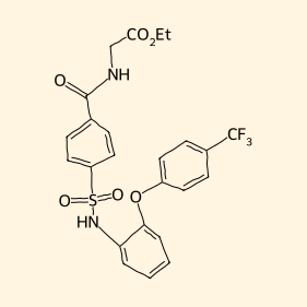 CCOC(=O)CNC(=O)c1ccc(S(=O)(=O)Nc2ccccc2Oc2ccc(C(F)(F)F)cc2)cc1